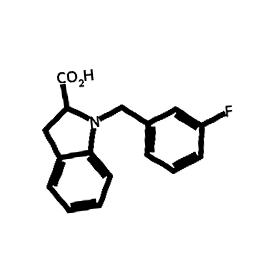 O=C(O)C1Cc2ccccc2N1Cc1cccc(F)c1